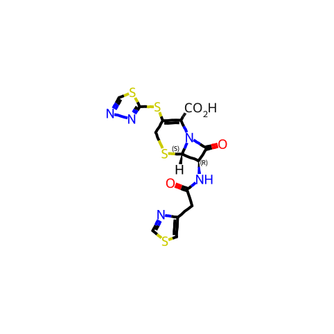 O=C(Cc1cscn1)N[C@@H]1C(=O)N2C(C(=O)O)=C(Sc3nncs3)CS[C@@H]12